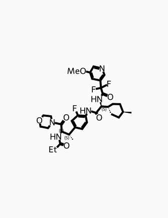 CCC(=O)N[C@@H](C(=O)N1CCOCC1)[C@@H](C)c1ccc(NC(=O)[C@@H](NC(=O)C(F)(F)c2cncc(OC)c2)[C@H]2CC[C@H](C)CC2)c(F)c1